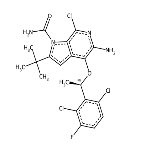 C[C@@H](Oc1c(N)nc(Cl)c2c1cc(C(C)(C)C)n2C(N)=O)c1c(Cl)ccc(F)c1Cl